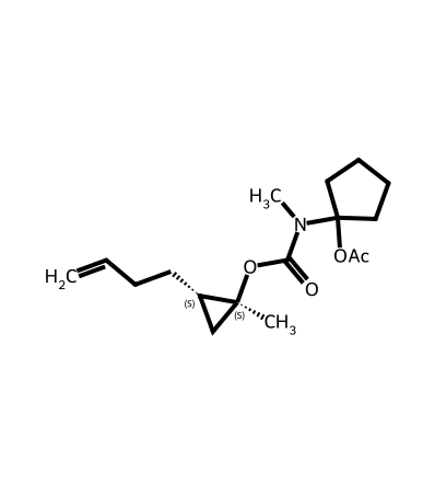 C=CCC[C@H]1C[C@]1(C)OC(=O)N(C)C1(OC(C)=O)CCCC1